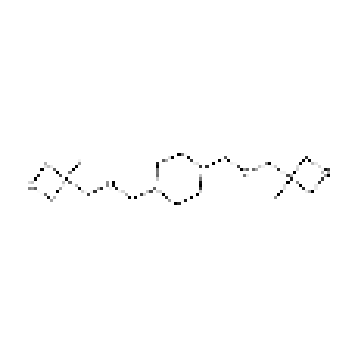 CC1(COCC2CCC(COCC3(C)COC3)CC2)COC1